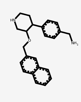 NCc1ccc(C2CCNCC2OCc2ccc3ccccc3c2)cc1